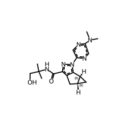 CN(C)c1cnc(-n2nc(C(=O)NC(C)(C)CO)c3c2[C@@H]2C[C@@H]2C3)cn1